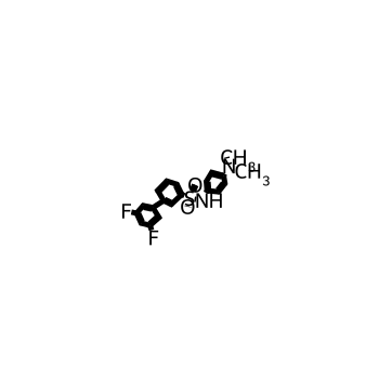 CN(C)c1ccc(NS(=O)(=O)c2cccc(-c3cc(F)cc(F)c3)c2)cc1